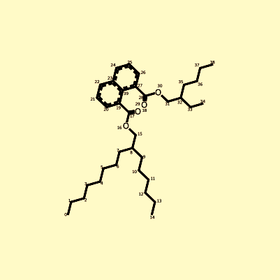 CCCCCCCCC(CCCCCC)COC(=O)c1cccc2cccc(C(=O)OCC(CC)CCCC)c12